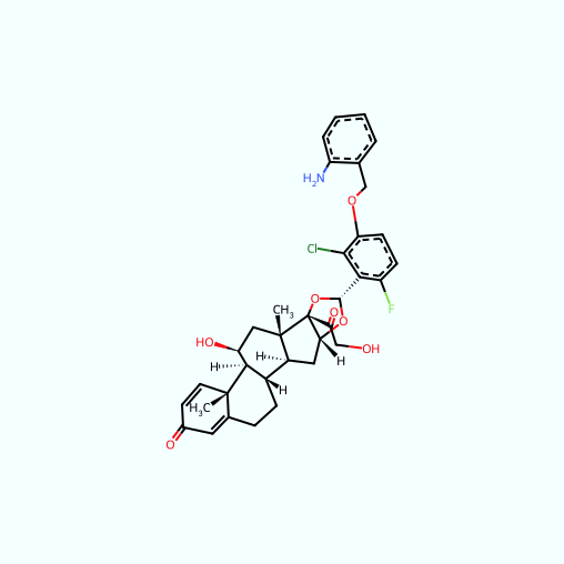 C[C@]12C=CC(=O)C=C1CC[C@@H]1[C@@H]2[C@@H](O)C[C@@]2(C)[C@H]1C[C@H]1O[C@@H](c3c(F)ccc(OCc4ccccc4N)c3Cl)O[C@]12C(=O)CO